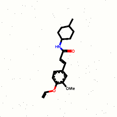 C=COc1ccc(/C=C/C(=O)NC2CCC(C)CC2)cc1OC